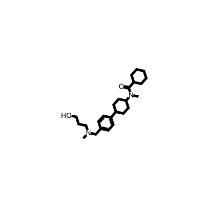 CN(CCCO)Cc1ccc(C2CCC(N(C)C(=O)C3CCCCC3)CC2)cc1